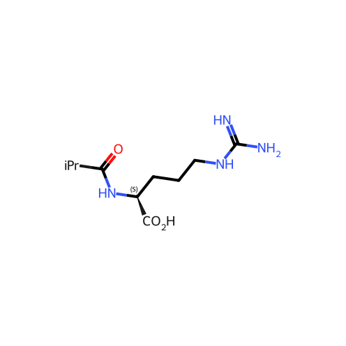 CC(C)C(=O)N[C@@H](CCCNC(=N)N)C(=O)O